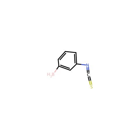 Bc1cccc(N=C=S)c1